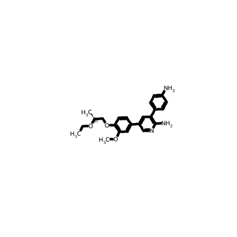 CCO[C@H](C)COc1ccc(-c2cnc(N)c(-c3ccc(N)cc3)c2)cc1OC